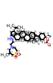 C=C(C)[C@@H]1CC[C@]2(NCCN3CCS(=O)(=O)CC(C)C3)CC[C@]3(C)[C@H](CC[C@@H]4[C@@]5(C)CC=C(C6=CC[C@](CF)(OC=O)CC6)C(C)(C)[C@@H]5CC[C@]43C)[C@@H]12